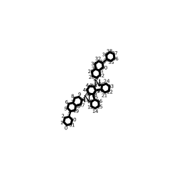 c1ccc(-c2ccc3ccc(-n4c5ccccc5c5c6c7ccccc7n(-c7ccc8ccc(-c9ccccc9)cc8c7)c6ccc54)cc3c2)cc1